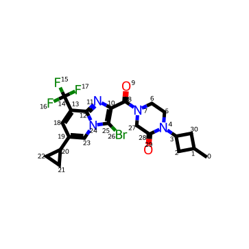 CC1CC(N2CCN(C(=O)c3nc4c(C(F)(F)F)cc(C5CC5)cn4c3Br)CC2=O)C1